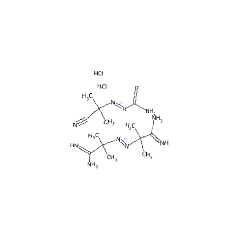 CC(C)(/N=N/C(C)(C)C(=N)N)C(=N)N.CC(C)(C#N)/N=N/C(N)=O.Cl.Cl